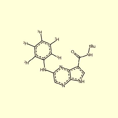 [2H]c1c([2H])c([2H])c(Nc2cnc3[nH]cc(C(=O)NC(C)(C)C)c3n2)c([2H])c1[2H]